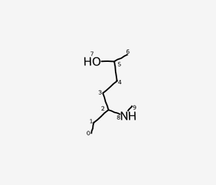 CCC(CCC(C)O)NC